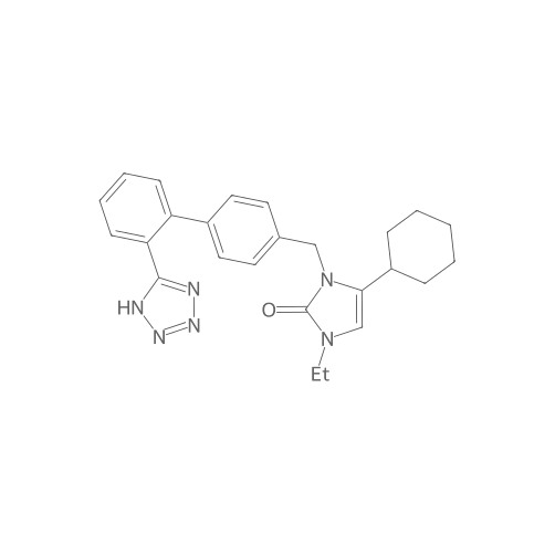 CCn1cc(C2CCCCC2)n(Cc2ccc(-c3ccccc3-c3nnn[nH]3)cc2)c1=O